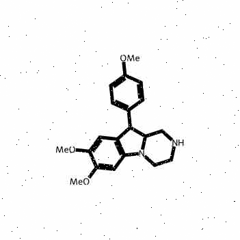 COc1ccc(C2c3cc(OC)c(OC)cc3N3CCNCC23)cc1